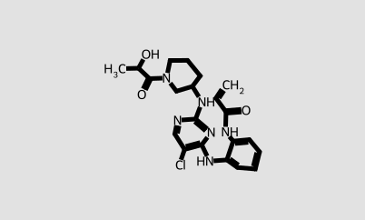 C=CC(=O)Nc1ccccc1Nc1nc(NC2CCCN(C(=O)C(C)O)C2)ncc1Cl